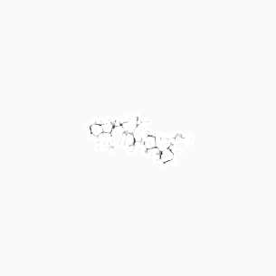 COc1cccc2[nH]c(C(=O)NC(C(=O)N3CCC(c4ccccc4NC=O)C3)C3CC3)cc12